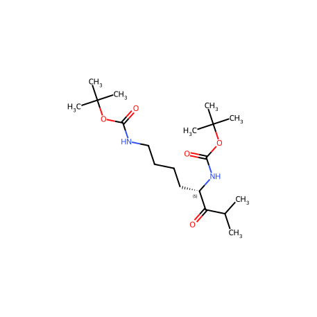 CC(C)C(=O)[C@H](CCCCNC(=O)OC(C)(C)C)NC(=O)OC(C)(C)C